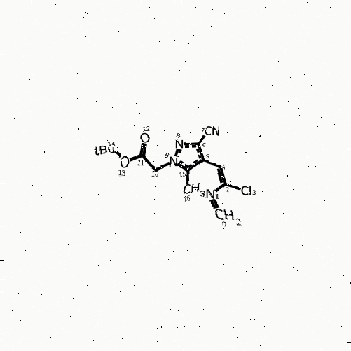 C=N/C(Cl)=C\c1c(C#N)nn(CC(=O)OC(C)(C)C)c1C